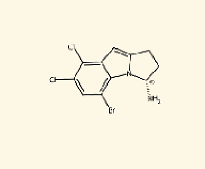 N[C@H]1CCc2cc3c(Cl)c(Cl)cc(Br)c3n21